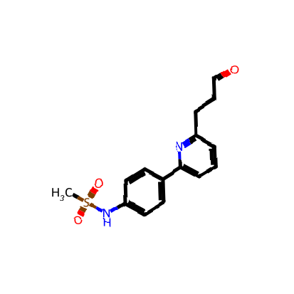 CS(=O)(=O)Nc1ccc(-c2cccc(CCC=O)n2)cc1